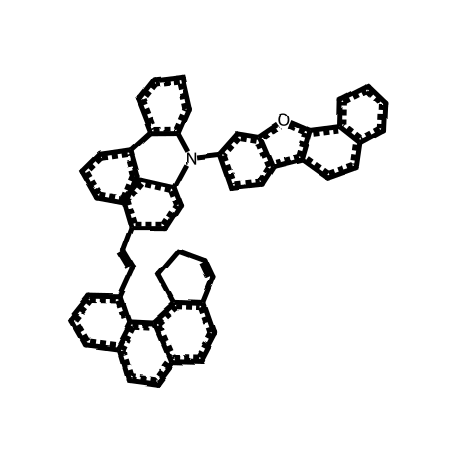 C1=Cc2ccc3ccc4cccc(C=Cc5ccc(N(c6ccc7c(c6)oc6c8ccccc8ccc76)c6ccccc6-c6ccccc6)cc5)c4c3c2CC1